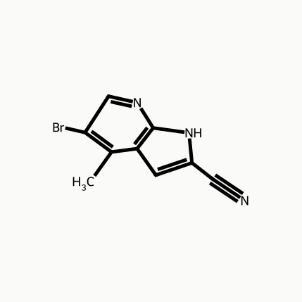 Cc1c(Br)cnc2[nH]c(C#N)cc12